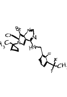 CC(F)(F)c1cccc(CNc2ncnc3c(Br)c(=O)n(C4(C)CC4)cc23)c1F